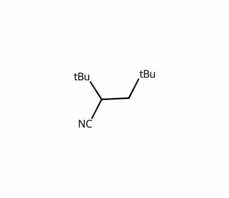 CC(C)(C)CC(C#N)C(C)(C)C